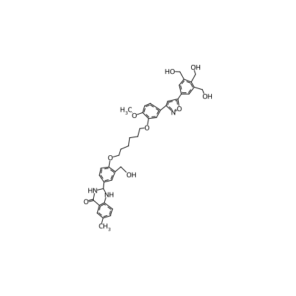 COc1ccc(-c2cc(-c3cc(CO)c(CO)c(CO)c3)on2)cc1OCCCCCCOc1ccc(C2NC(=O)c3cc(C)ccc3N2)cc1CO